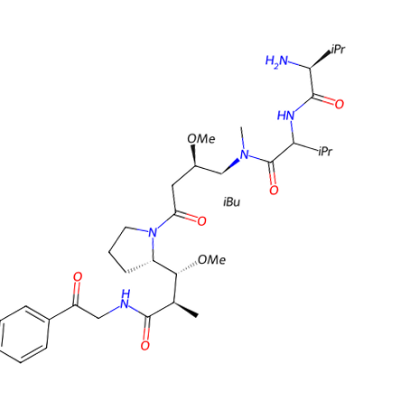 CC[C@H](C)[C@@H]([C@@H](CC(=O)N1CCC[C@H]1[C@H](OC)[C@@H](C)C(=O)NCC(=O)c1ccccc1)OC)N(C)C(=O)C(NC(=O)[C@@H](N)C(C)C)C(C)C